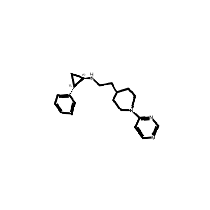 c1ccc([C@@H]2C[C@H]2NCCC2CCN(c3ccncn3)CC2)cc1